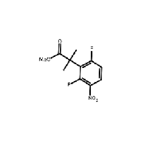 COC(=O)C(C)(C)c1c(F)ccc([N+](=O)[O-])c1F